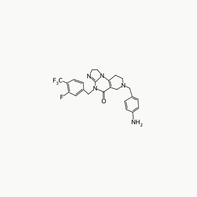 Nc1ccc(CN2CCC3=C(C2)C(=O)N(Cc2ccc(C(F)(F)F)c(F)c2)C2=NCCN23)cc1